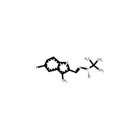 Cc1c(C=N[S@@+]([O-])C(C)(C)C)oc2ccc(F)cc12